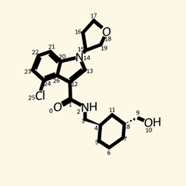 O=C(NC[C@@H]1CCC[C@@H](CO)C1)c1cn(C2CCOC2)c2cccc(Cl)c12